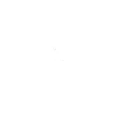 CC(C)(C)OCC(N)C(=O)NCc1ccc(Cl)c(Cl)c1